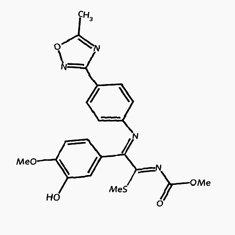 COC(=O)N=C(SC)C(=Nc1ccc(-c2noc(C)n2)cc1)c1ccc(OC)c(O)c1